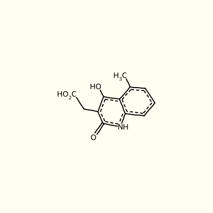 Cc1cccc2[nH]c(=O)c(CC(=O)O)c(O)c12